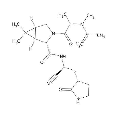 C=C(C)N(C)C(C)C(=O)N1C[C@H]2[C@@H]([C@H]1C(=O)N[C@H](C#N)C[C@@H]1CCNC1=O)C2(C)C